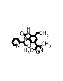 C=Cc1cc(-c2c(C)noc2C)c2c3c1[nH]c(=O)n3C(c1ccccn1)CO2